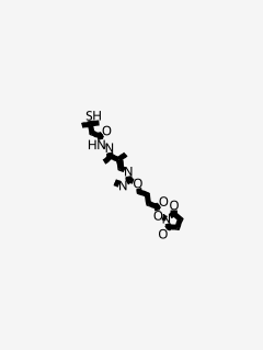 C=N\C(=N/C=C(C)/C(C)=N/NC(=O)CC(C)(C)S)OCCCC(=O)ON1C(=O)CCC1=O